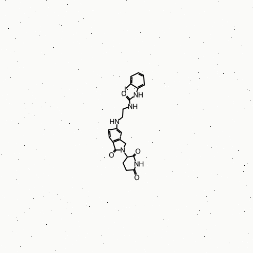 O=C1CCC(N2Cc3cc(NCCNC(=O)Nc4ccccc4I)ccc3C2=O)C(=O)N1